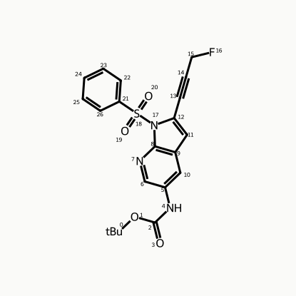 CC(C)(C)OC(=O)Nc1cnc2c(c1)cc(C#CCF)n2S(=O)(=O)c1ccccc1